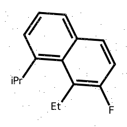 CCc1c(F)ccc2cccc(C(C)C)c12